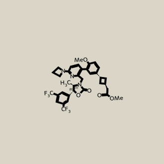 COC(=O)C[C@H]1C[C@H](c2ccc(OC)c(-c3ccc(N4CCC4)nc3CN3C(=O)O[C@H](c4cc(C(F)(F)F)cc(C(F)(F)F)c4)[C@@H]3C)c2)C1